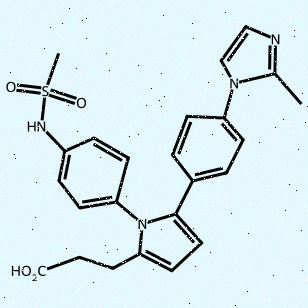 Cc1nccn1-c1ccc(-c2ccc(CCC(=O)O)n2-c2ccc(NS(C)(=O)=O)cc2)cc1